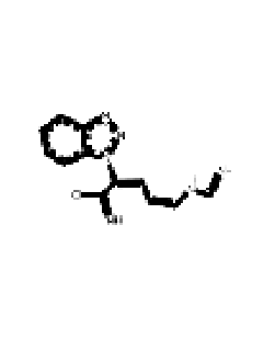 N=CN/C=C\C=C(/C(=N)Cl)n1nnc2ccccc21